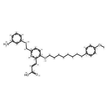 COc1ccc(CCCCCCCCOc2ccc(CSc3cccc(N)c3)nc2C=CC(=O)O)cc1